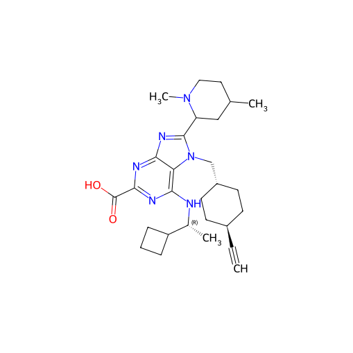 C#C[C@H]1CC[C@H](Cn2c(C3CC(C)CCN3C)nc3nc(C(=O)O)nc(N[C@H](C)C4CCC4)c32)CC1